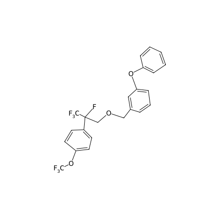 FC(F)(F)Oc1ccc(C(F)(COCc2cccc(Oc3ccccc3)c2)C(F)(F)F)cc1